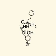 C[C@@H](CNCc1cc(Br)ccc1O)NC(=O)[C@H](N)CCc1ccccc1